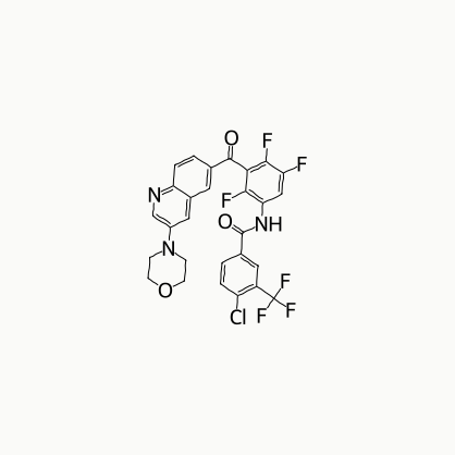 O=C(Nc1cc(F)c(F)c(C(=O)c2ccc3ncc(N4CCOCC4)cc3c2)c1F)c1ccc(Cl)c(C(F)(F)F)c1